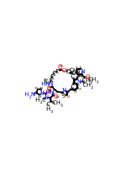 CCn1c(-c2cccnc2[C@H](C)OC)c2c3cc(ccc31)-c1csc(n1)C[C@H](NC(=O)C(C(C)C)N(C)C(=O)N1CC[C@@H](N)C1)C(=O)N(NF)CCCCC(=O)OCC(C)(C)C2